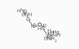 CCCOC(=O)NCCOCCC/C=N\OCc1cccc(C(=O)NCCCC[C@H](NC(=O)[C@H](CC(C)C)[NH][Hg])C(N)=O)c1